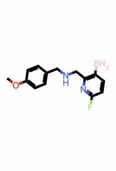 Bc1ccc(F)nc1CNCc1ccc(OC)cc1